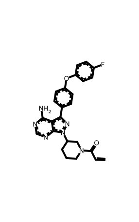 C=CC(=O)N1CCCC(n2nc(-c3ccc(Oc4ccc(F)cc4)cc3)c3c(N)ncnc32)C1